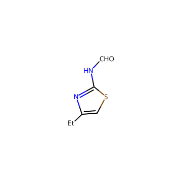 CCc1csc(NC=O)n1